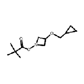 CC(C)(C)C(=O)ON1CC(OCC2CC2)C1